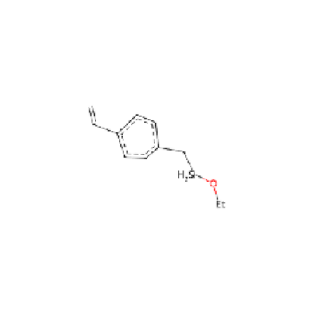 C=Cc1ccc(C[SiH2]OCC)cc1